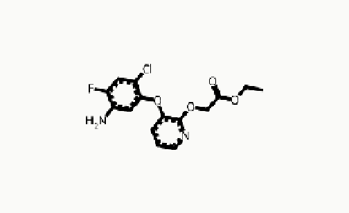 CCOC(=O)COc1ncccc1Oc1cc(N)c(F)cc1Cl